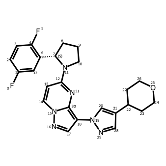 Fc1ccc(F)c([C@@H]2CCCN2c2ccn3ncc(-n4cc(C5CCOCC5)cn4)c3n2)c1